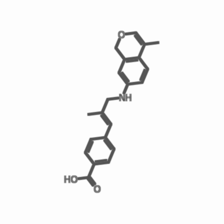 CC(=Cc1ccc(C(=O)O)cc1)CNc1ccc2c(c1)COC=C2C